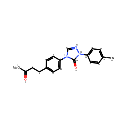 COC(=O)CCc1ccc(-n2cnn(-c3ccc(C#N)cc3)c2=O)cc1